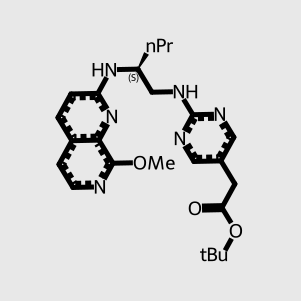 CCC[C@@H](CNc1ncc(CC(=O)OC(C)(C)C)cn1)Nc1ccc2ccnc(OC)c2n1